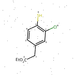 CCOC(=O)Cc1ccc(S)c(Cl)c1